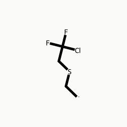 [CH2]CSCC(F)(F)Cl